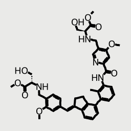 COC(=O)[C@H](CO)NCc1ccc(/C=C2\CCc3c2cccc3-c2cccc(NC(=O)c3cc(OC)c(CN[C@@H](CO)C(=O)OC)cn3)c2C)cc1OC